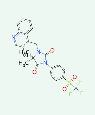 Cc1cnc2ccccc2c1CN1C(=O)N(c2ccc(S(=O)(=O)C(F)(F)F)cc2)C(=O)C1(C)C